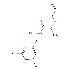 C=CCOC(C)C(=O)NO.CC(=O)c1cc(C(C)=O)cc(C(C)=O)c1